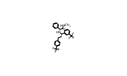 CNC(=O)[C@H](N[C@H](CCc1ccc(C(F)(F)F)cc1)c1cccc(C(F)(F)F)c1)c1ccccc1